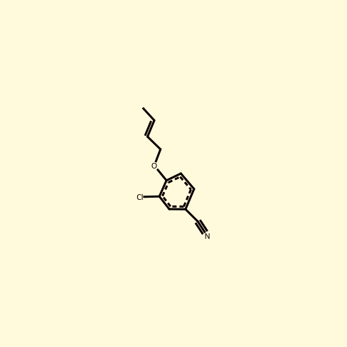 CC=CCOc1ccc(C#N)cc1Cl